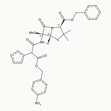 CS[C@@]1(NC(=O)C(C(=O)OCc2ccc([N+](=O)[O-])cc2)c2ccsc2)C(=O)N2[C@@H](C(=O)OCc3ccccc3)C(C)(C)S[C@@H]21